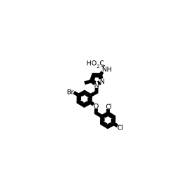 Cc1cc(NC(=O)O)nn1Cc1cc(Br)ccc1OCc1ccc(Cl)cc1Cl